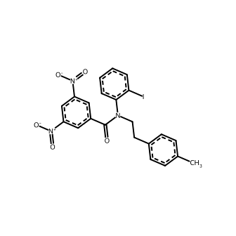 Cc1ccc(CCN(C(=O)c2cc([N+](=O)[O-])cc([N+](=O)[O-])c2)c2ccccc2I)cc1